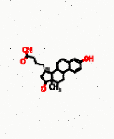 C[C@]12CCC3c4ccc(O)cc4CCC3C1[C@@H](CCCC(=O)O)CC2=O